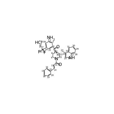 Cl.Nc1cc(C(=O)N2CCN(C(=O)C=Cc3ccccc3)C[C@H]2Cc2c[nH]c3ccccc23)cc(C(F)(F)F)c1